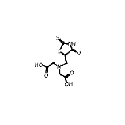 O=C(O)CN(CC(=O)O)CC1SC(=S)NC1=O